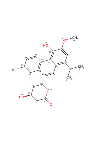 COc1cc(C(C)C)c(C=C[C@H]2C[C@H](O)CC(=O)O2)c(-c2ccc(F)cc2)c1O